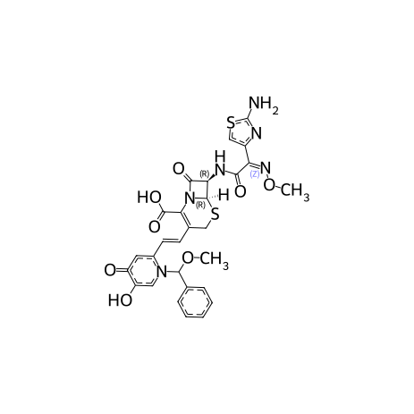 CO/N=C(\C(=O)N[C@@H]1C(=O)N2C(C(=O)O)=C(C=Cc3cc(=O)c(O)cn3C(OC)c3ccccc3)CS[C@H]12)c1csc(N)n1